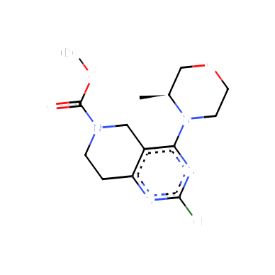 C[C@H]1COCCN1c1nc(Cl)nc2c1CN(C(=O)OC(C)(C)C)CC2